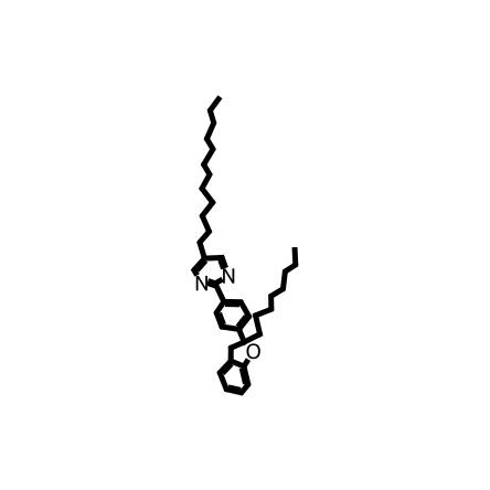 CCCCCCCCCCCCc1cnc(-c2ccc(C3(CCCCCCCC)Cc4ccccc4O3)cc2)nc1